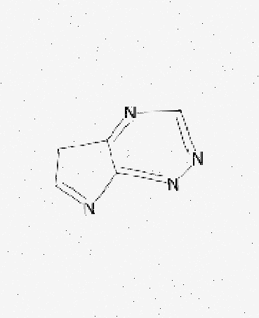 C1=Nc2nncnc2C1